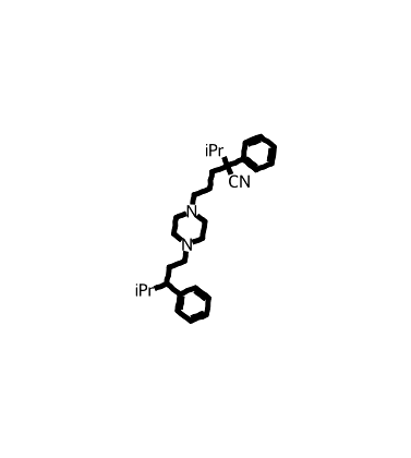 CC(C)C(CCN1CCN(CCCC(C#N)(c2ccccc2)C(C)C)CC1)c1ccccc1